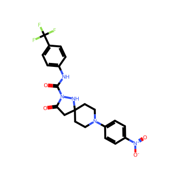 O=C1CC2(CCN(c3ccc([N+](=O)[O-])cc3)CC2)NN1C(=O)Nc1ccc(C(F)(F)F)cc1